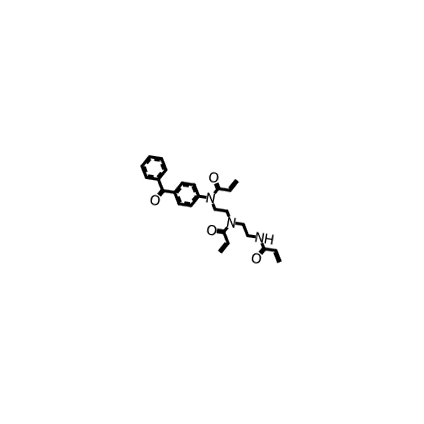 C=CC(=O)NCCN(CCN(C(=O)C=C)c1ccc(C(=O)c2ccccc2)cc1)C(=O)C=C